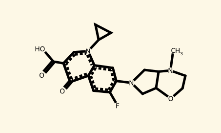 CN1CCOC2CN(c3cc4c(cc3F)c(=O)c(C(=O)O)cn4C3CC3)CC21